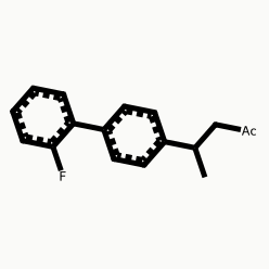 CC(=O)CC(C)c1ccc(-c2ccccc2F)cc1